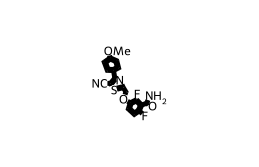 COc1ccc(-c2nc(COc3ccc(F)c(C(N)=O)c3F)sc2C#N)cc1